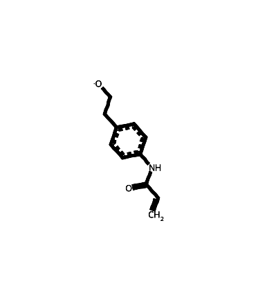 C=CC(=O)Nc1ccc(CC[O])cc1